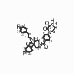 O=C1[SH4]CCN(c2ccc(C(=O)N3CCC(C(=O)NCCc4ccc(F)cc4)(c4ccc(F)cc4)CC3)cc2)C1=O